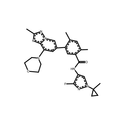 Cc1nc2c(N3CCOCC3)cc(-c3cc(C(=O)Nc4cn(C5(C)CC5)nc4F)c(C)cc3C)cn2n1